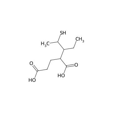 CCC(C(C)S)C(CCC(=O)O)C(=O)O